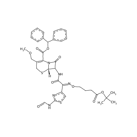 COCC1=C(C(=O)OC(c2ccccc2)c2ccccc2)N2C(=O)C(NC(=O)C(=NOCCCC(=O)OC(C)(C)C)c3csc(NC=O)n3)[C@@H]2SC1